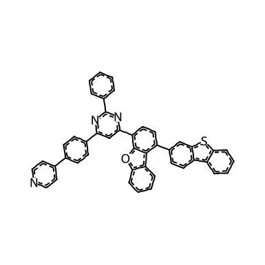 c1ccc(-c2nc(-c3ccc(-c4ccncc4)cc3)cc(-c3ccc(-c4ccc5c(c4)sc4ccccc45)c4c3oc3ccccc34)n2)cc1